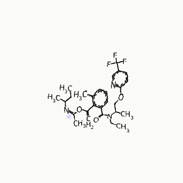 C=C(O/C(C)=N\C(C)CC)c1c(C)cccc1C(=O)N(CC)C(C)COc1ccc(C(F)(F)F)cn1